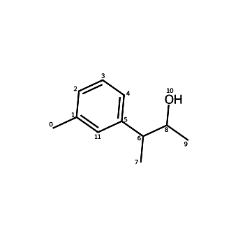 Cc1cccc(C(C)C(C)O)c1